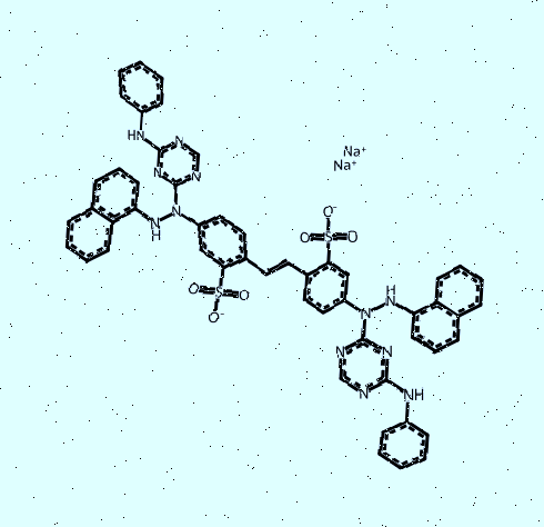 O=S(=O)([O-])c1cc(N(Nc2cccc3ccccc23)c2ncnc(Nc3ccccc3)n2)ccc1C=Cc1ccc(N(Nc2cccc3ccccc23)c2ncnc(Nc3ccccc3)n2)cc1S(=O)(=O)[O-].[Na+].[Na+]